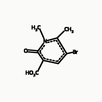 Cc1c(Br)cc(C(=O)O)c(=O)n1C